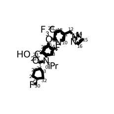 CC(C)N(c1cc(F)c(Oc2ncc(Cn3nccn3)cc2C(F)(F)F)cc1C(=O)O)C(=O)[C@H]1CC[C@H](CF)CC1